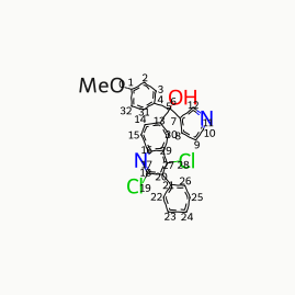 COc1ccc(C(O)(c2cccnc2)c2ccc3nc(Cl)c(-c4ccccc4)c(Cl)c3c2)cc1